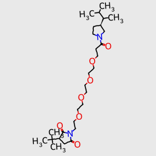 CC(C)C(C)[C@@H]1CCN(C(=O)CCOCCOCCOCCOCCN2C(=O)CC(C(C)(C)C)C2=O)C1